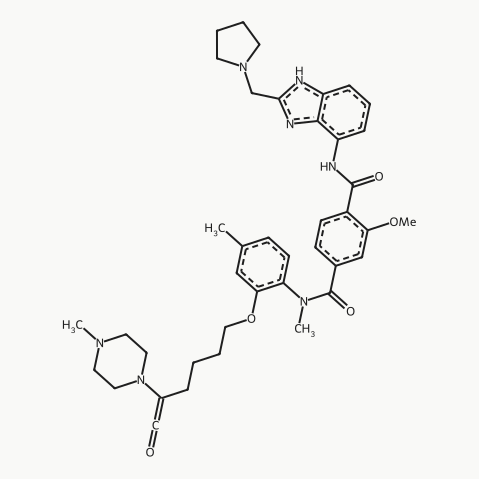 COc1cc(C(=O)N(C)c2ccc(C)cc2OCCCCC(=C=O)N2CCN(C)CC2)ccc1C(=O)Nc1cccc2[nH]c(CN3CCCC3)nc12